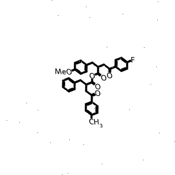 COc1ccc(CC(CC(=O)c2ccc(F)cc2)C(=O)OC(=O)C(CC(=O)c2ccc(C)cc2)Cc2ccccc2)cc1